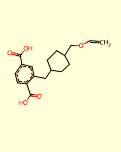 C=COCC1CCC(Cc2cc(C(=O)O)ccc2C(=O)O)CC1